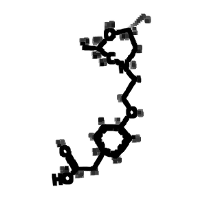 C[C@@H]1CN(CCOc2ccc(CC(=O)O)cc2)C[C@@H](C)O1